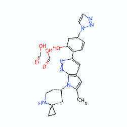 Cc1cc2cc(-c3ccc(-n4ccnn4)cc3O)nnc2n1C1CCNC2(CC2)C1.O=CO.O=CO